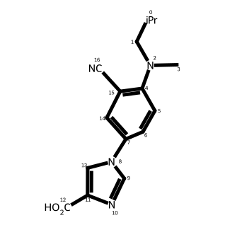 CC(C)CN(C)c1ccc(-n2cnc(C(=O)O)c2)cc1C#N